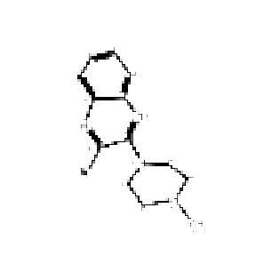 CN1CCN(c2nc3ccccc3nc2Br)CC1